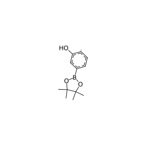 CC1(C)OB(c2cc[c]c(O)c2)OC1(C)C